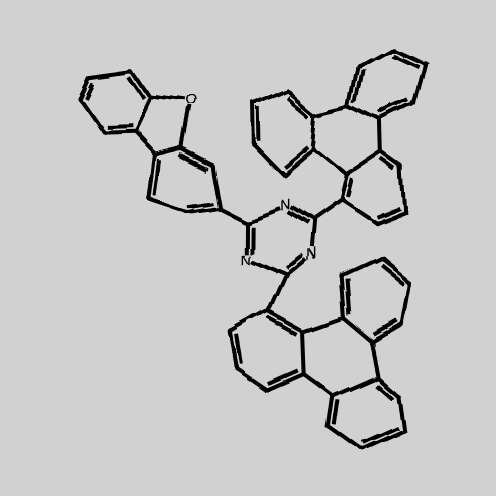 c1ccc2c(c1)oc1cc(-c3nc(-c4cccc5c6ccccc6c6ccccc6c45)nc(-c4cccc5c6ccccc6c6ccccc6c45)n3)ccc12